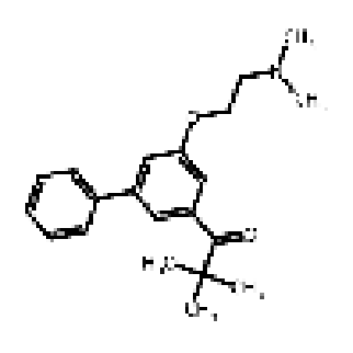 CN(C)CCOc1cc(C(=O)C(C)(C)C)cc(-c2ccccc2)c1